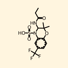 CCC(=O)NC1N(S(=O)(=O)O)c2cc(C(F)(F)F)ccc2OC1(C)C